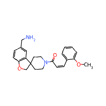 COc1ccccc1/C=C\C(=O)N1CCC2(CC1)COc1ccc(CN)cc12